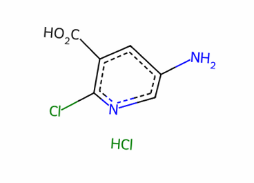 Cl.Nc1cnc(Cl)c(C(=O)O)c1